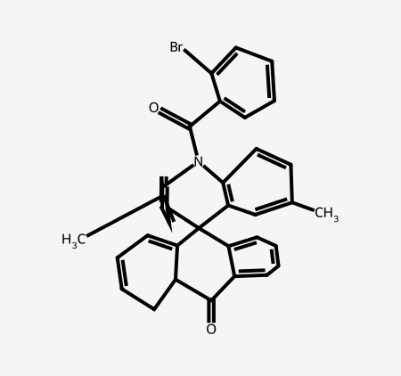 Cc1ccc2c(c1)C1(C3=CC=CCC3C(=O)c3ccccc31)c1cc(C)ccc1N2C(=O)c1ccccc1Br